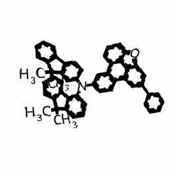 CC1(C)c2ccccc2-c2ccc(N(c3ccc4c(c3)c3cccc5oc6cc(-c7ccccc7)cc4c6c53)c3cccc4c3-c3ccccc3C4(C)C)cc21